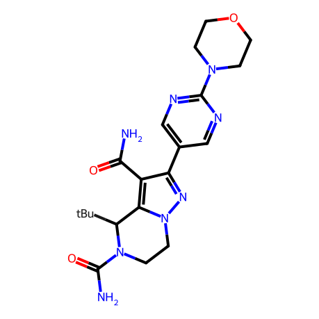 CC(C)(C)C1c2c(C(N)=O)c(-c3cnc(N4CCOCC4)nc3)nn2CCN1C(N)=O